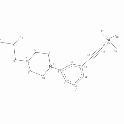 CC(C)CN1CCN(c2cncc(C#C[Si](C)(C)C)c2)CC1